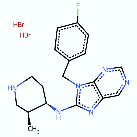 Br.Br.C[C@H]1CNCC[C@H]1Nc1nc2cncnc2n1Cc1ccc(F)cc1